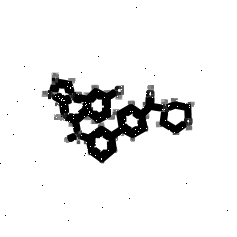 CN(c1cccc(-c2ccc(C(=O)N3CCOCC3)cc2)c1)c1nc2nncn2c2cc(Cl)ccc12